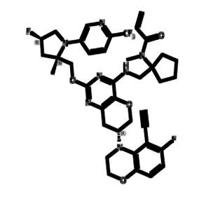 C#Cc1c(F)ccc2c1N([C@H]1COc3c(nc(OC[C@]4(C)C[C@@H](F)CN4c4ccc(C(F)(F)F)nc4)nc3NCC3(N(C)C(=O)C=C)CCCC3)C1)CCO2